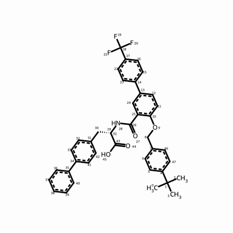 CC(C)(C)c1ccc(COc2ccc(-c3ccc(C(F)(F)F)cc3)cc2C(=O)N[C@@H](Cc2ccc(-c3ccccc3)cc2)C(=O)O)cc1